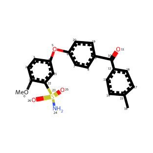 COc1ccc(Oc2ccc(C(=O)c3ccc(C)cc3)cc2)cc1S(N)(=O)=O